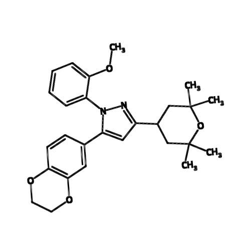 COc1ccccc1-n1nc(C2CC(C)(C)OC(C)(C)C2)cc1-c1ccc2c(c1)OCCO2